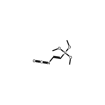 CO[Si](C=CN=C=O)(OC)OC